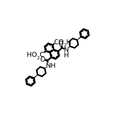 O=C(O)c1ccc(C(=O)O)c2c(C(=O)N[C@H]3CC[C@H](c4ccccc4)CC3)ccc(C(=O)N[C@H]3CC[C@H](c4ccccc4)CC3)c12